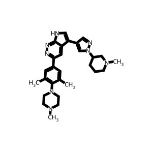 Cc1cc(-c2cc3c(-c4cnn(C5CCCN(C)C5)c4)c[nH]c3nn2)cc(C)c1N1CCN(C)CC1